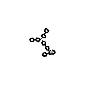 c1ccc(-c2ccc(N(c3ccc(-c4ccccc4)cc3)c3ccc(-c4ccc(-c5c(-c6ccccc6)cc6ccccn56)cc4)cc3)cc2)cc1